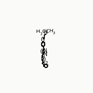 CN(C)CCCOc1ccc(-c2nnc(COCc3cc4ccccc4o3)o2)cc1